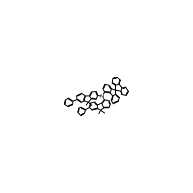 CC1(C)c2cc(-c3ccccc3)ccc2-c2ccc(N(c3cccc4c3-c3ccc(-c5ccccc5)cc3C4(C)C)c3cccc4c3-c3ccccc3C43c4ccccc4-c4ccccc43)cc21